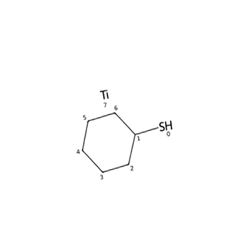 SC1CCCCC1.[Ti]